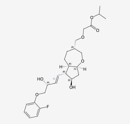 CC(C)OC(=O)COC[C@H]1CC[C@@H]2[C@@H](/C=C/[C@@H](O)COc3ccccc3F)[C@H](O)C[C@@H]2OC1